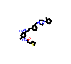 Cc1cc2[nH]nc(C=Cc3cccc(CN4CCN(c5ccccc5C)CC4)c3)c2cc1NC(=O)Cc1cccs1